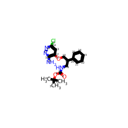 CC(C)(C)OC(=O)NCC(COc1cc(Cl)nnc1N)c1ccccc1